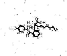 Cc1ccc(NC(=O)c2ccccc2NC(C)(CCCCCC=O)C(=O)O)nc1